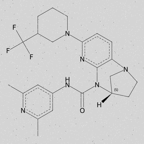 Cc1cc(NC(=O)N2c3nc(N4CCCC(C(F)(F)F)C4)ccc3N3CC[C@H]2C3)cc(C)n1